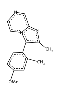 COc1ccc(-c2c(C)nc3cnccn23)c(C)c1